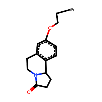 CC(C)CCOc1ccc2c(c1)CCN1C(=O)CCC21